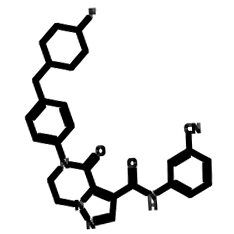 N#Cc1cccc(NC(=O)c2cnn3c2C(=O)N(c2ccc(CC4CCC(F)CC4)cc2)CC3)c1